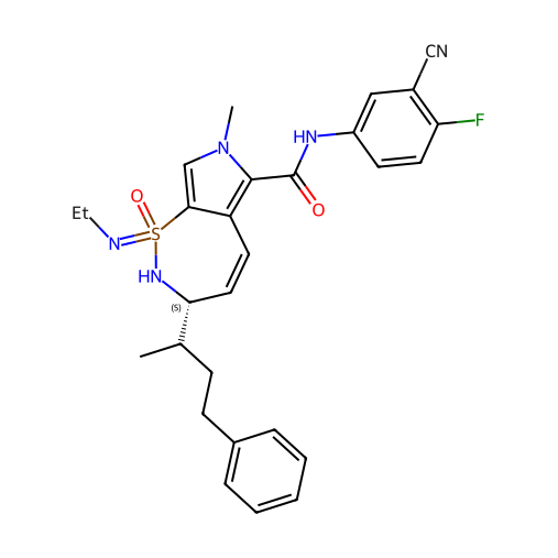 CCN=S1(=O)N[C@@H](C(C)CCc2ccccc2)C=Cc2c1cn(C)c2C(=O)Nc1ccc(F)c(C#N)c1